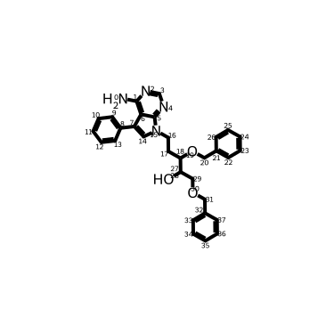 Nc1ncnc2c1c(-c1ccccc1)cn2CCC(OCc1ccccc1)C(O)COCc1ccccc1